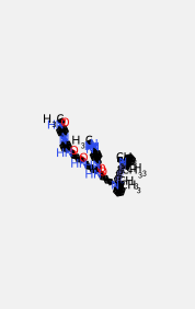 CCN1/C(=C/C=C/C=C/C2=[N+](CCCCCC(=O)NC(CCCCNC(=O)CCCC(=O)Nc3ccc(N=Nc4ccc(NC(C)=O)cc4)cc3)C(=O)NCc3ccc(-c4nnc(C)nn4)cc3)c3ccccc3C2(C)C)C(C)(C)c2ccccc21